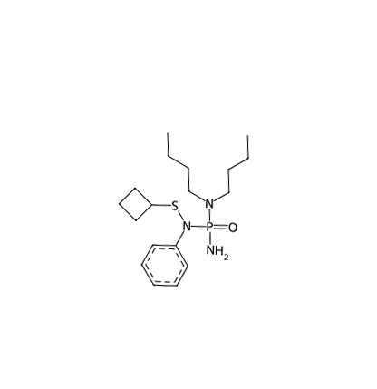 CCCCN(CCCC)P(N)(=O)N(SC1CCC1)c1ccccc1